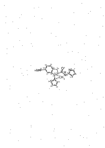 C[C@@]1(C(=O)Nc2nccs2)Cc2ccc(C#N)cc2[C@@H]1c1cccs1